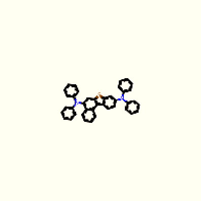 c1ccc(N(c2ccccc2)c2ccc3c(c2)sc2cc(N(c4ccccc4)c4ccccc4)c4ccccc4c23)cc1